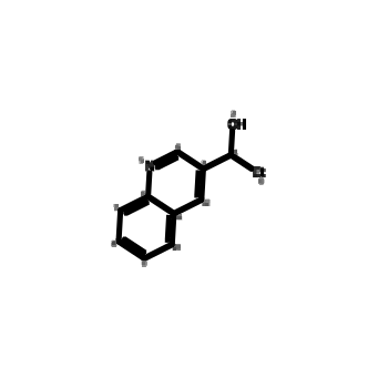 CCC(O)c1cnc2ccccc2c1